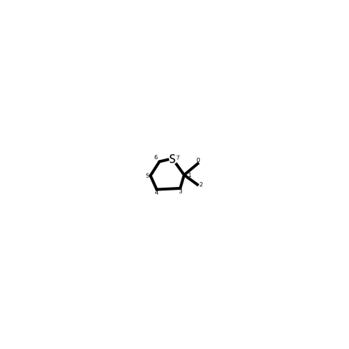 CC1(C)CCCCS1